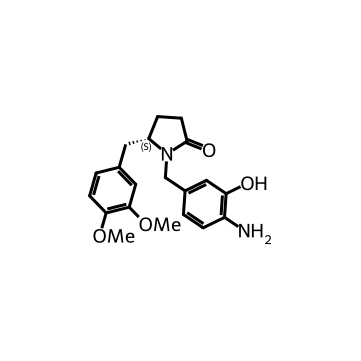 COc1ccc(C[C@@H]2CCC(=O)N2Cc2ccc(N)c(O)c2)cc1OC